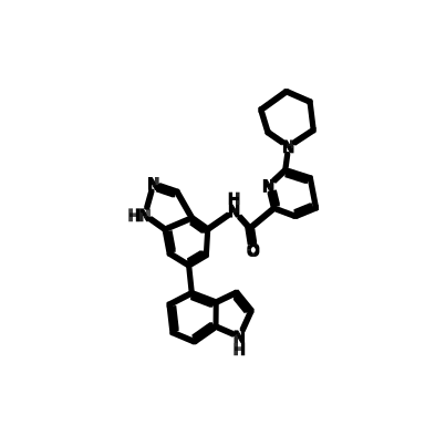 O=C(Nc1cc(-c2cccc3[nH]ccc23)cc2[nH]ncc12)c1cccc(N2CCCCC2)n1